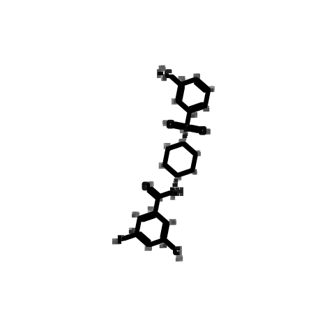 O=C(N[C@H]1CC[C@@H](S(=O)(=O)c2cccc(C(F)(F)F)c2)CC1)c1cc(F)cc(Cl)c1